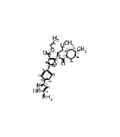 CCOC(=O)c1cc(-c2ccc(-c3cc(N)[nH]n3)cc2)oc1N(CCOC)C(=O)[C@H]1CC[C@H](C)CC1